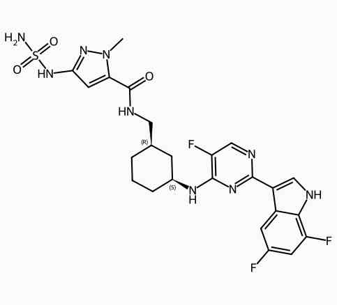 Cn1nc(NS(N)(=O)=O)cc1C(=O)NC[C@@H]1CCC[C@H](Nc2nc(-c3c[nH]c4c(F)cc(F)cc34)ncc2F)C1